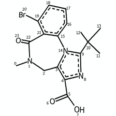 CN1Cc2c(C(=O)O)nc(C(C)(C)C)n2-c2cccc(Br)c2C1=O